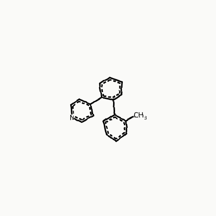 Cc1ccccc1-c1ccccc1-c1ccncc1